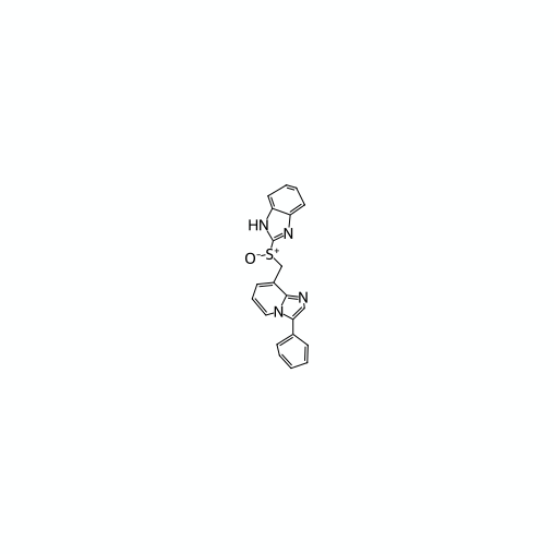 [O-][S+](Cc1cccn2c(-c3ccccc3)cnc12)c1nc2ccccc2[nH]1